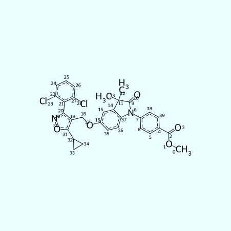 COC(=O)c1ccc(N2C(=O)C(C)(C)c3cc(OCc4c(-c5c(Cl)cccc5Cl)noc4C4CC4)ccc32)cc1